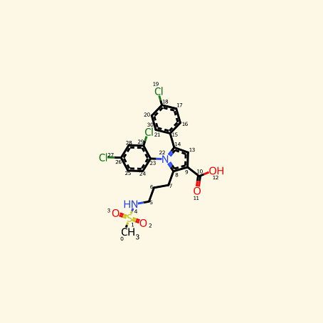 CS(=O)(=O)NCCCc1c(C(=O)O)cc(-c2ccc(Cl)cc2)n1-c1ccc(Cl)cc1Cl